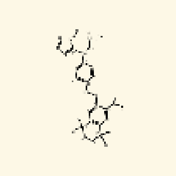 CBc1cc2c(cc1COc1ccc([C@H](CC(=O)OCC)c3nccn3C)cc1)C(C)(C)CCC2(C)C